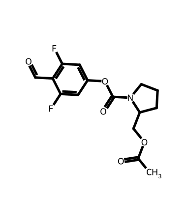 CC(=O)OCC1CCCN1C(=O)Oc1cc(F)c(C=O)c(F)c1